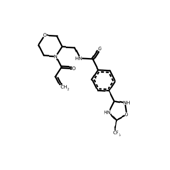 C=CC(=O)N1CCOCC1CNC(=O)c1ccc(C2NOC(C(F)(F)F)N2)cc1